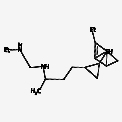 CCNCNC(C)CCC1CC1[SH]123CC1C2=C3CC